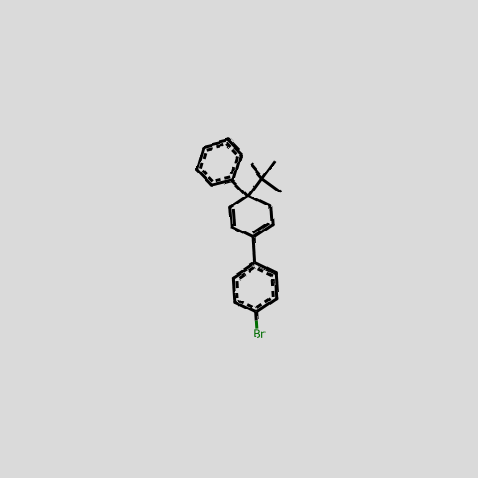 CC(C)(C)C1(c2ccccc2)C=CC(c2ccc(Br)cc2)=CC1